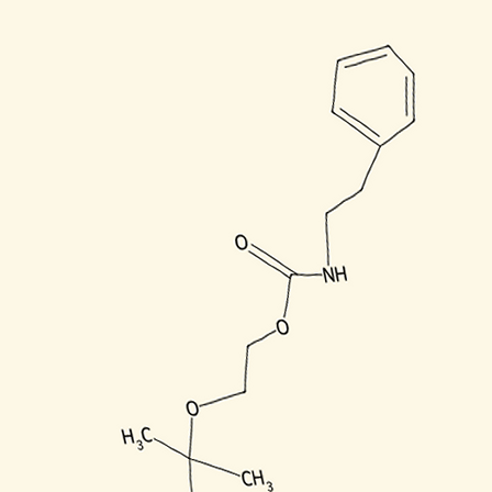 CC(C)(C)OCCOC(=O)NCCc1ccccc1